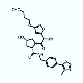 Cc1ncsc1-c1ccc(CNC(=O)[C@@H]2C[C@@H](O)CN2C(=O)C(c2cc(OCCCC=O)no2)C(C)C)cc1